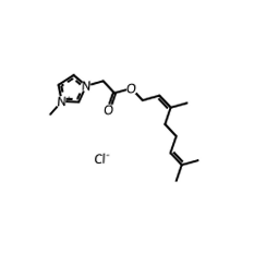 CC(C)=CCCC(C)=CCOC(=O)Cn1cc[n+](C)c1.[Cl-]